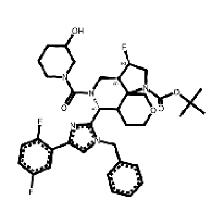 CC(C)(C)OC(=O)N1C[C@@H](CN(C(=O)N2CCCC(O)C2)[C@@H](c2nc(-c3cc(F)ccc3F)cn2Cc2ccccc2)C2CCOCC2)[C@@H](F)C1